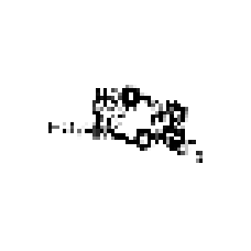 N#Cc1ccc(CCNC(=O)[C@@H]2CCCN2c2cc(N3CCC(CCCC(=O)N[C@@H](CCC(=O)O)C(=O)O)CC3)nc(C(F)(F)F)n2)cc1